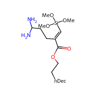 CCCCCCCCCCCCOC(=O)C(=C[Si](OC)(OC)OC)CCC(N)N